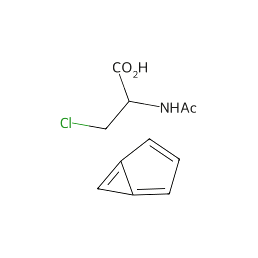 CC(=O)NC(CCl)C(=O)O.c1cc2cc-2c1